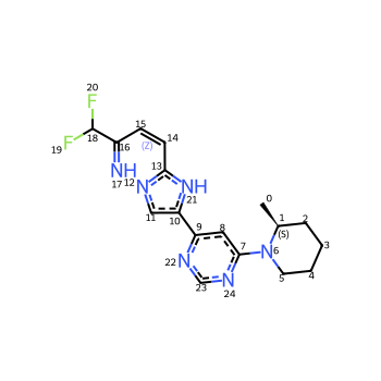 C[C@H]1CCCCN1c1cc(-c2cnc(/C=C\C(=N)C(F)F)[nH]2)ncn1